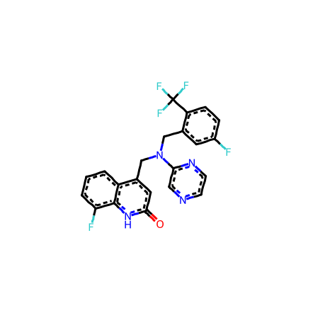 O=c1cc(CN(Cc2cc(F)ccc2C(F)(F)F)c2cnccn2)c2cccc(F)c2[nH]1